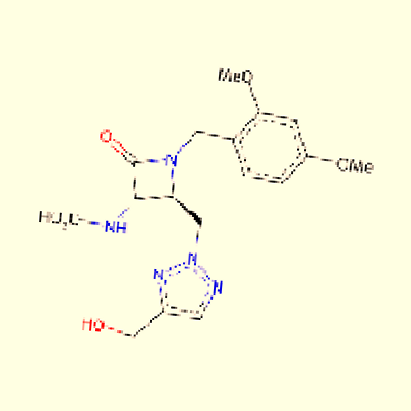 COc1ccc(CN2C(=O)[C@@H](NC(=O)O)[C@@H]2Cn2ncc(CO)n2)c(OC)c1